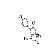 CN(C)c1ccc(-c2cc3c(O)cc(=O)[nH]c3cc2Cl)cc1